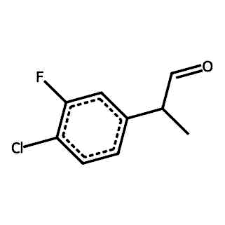 CC(C=O)c1ccc(Cl)c(F)c1